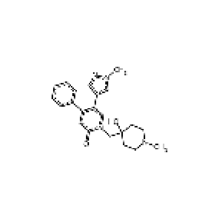 CN1CCC(O)(Cn2cc(-c3cnn(C)c3)c(-c3ccccc3)cc2=O)CC1